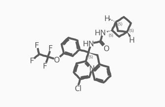 O=C(N[C@H]1C[C@H]2CC[C@H]1C2)N[C@@](Cc1ccccc1)(c1cccc(OC(F)(F)C(F)F)c1)c1ccc(Cl)cn1